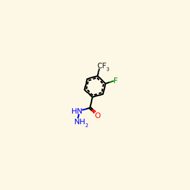 NNC(=O)c1ccc(C(F)(F)F)c(F)c1